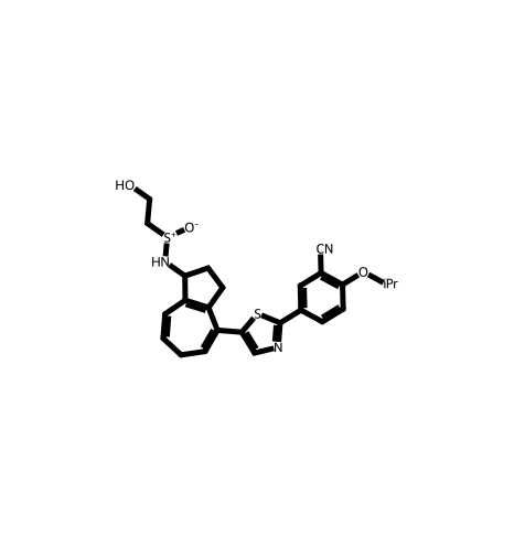 CC(C)Oc1ccc(-c2ncc(C3=CCC=CC4=C3CCC4N[S+]([O-])CCO)s2)cc1C#N